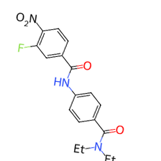 CCN(CC)C(=O)c1ccc(NC(=O)c2ccc([N+](=O)[O-])c(F)c2)cc1